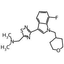 CN(C)Cc1nc(-c2cn(CC3CCOCC3)c3c(F)cccc23)ns1